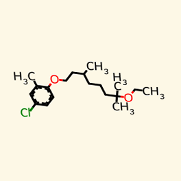 CCOC(C)(C)CCCC(C)CCOc1ccc(Cl)cc1C